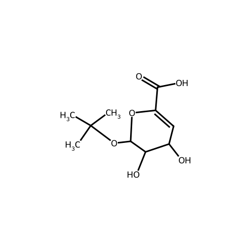 CC(C)(C)OC1OC(C(=O)O)=CC(O)C1O